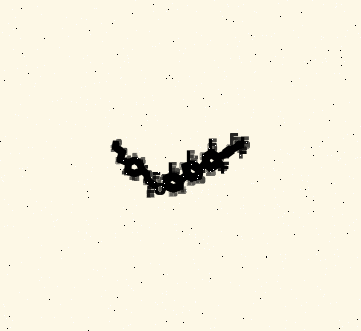 CCCCC1CCC(CCC(F)(F)Oc2ccc(-c3ccc(-c4cc(F)c(C#CC(F)(F)F)c(F)c4)c(F)c3)c(F)c2)CC1